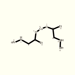 CCCNCC(CC)[O][Cu][O]C(CC)CNCCC